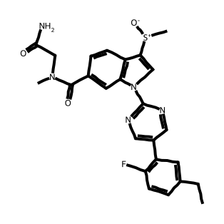 CCc1ccc(F)c(-c2cnc(-n3cc([S+](C)[O-])c4ccc(C(=O)N(C)CC(N)=O)cc43)nc2)c1